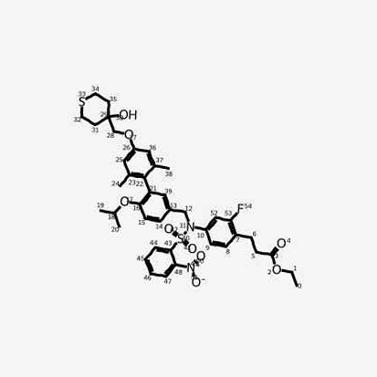 CCOC(=O)CCc1ccc(N(Cc2ccc(OC(C)C)c(-c3c(C)cc(OCC4(O)CCSCC4)cc3C)c2)S(=O)(=O)c2ccccc2[N+](=O)[O-])cc1F